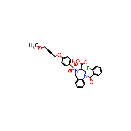 COCC#CCOc1ccc(S(=O)(=O)N2Cc3ccccc3N(C(=O)c3ccccc3F)CC2C(=O)O)cc1